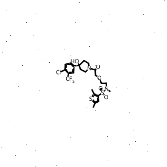 Cc1cc(S(=O)(=O)N(C)CCOCC(=O)N2CCC(O)(c3ccc(Cl)c(C(F)(F)F)c3)CC2)c(C)s1